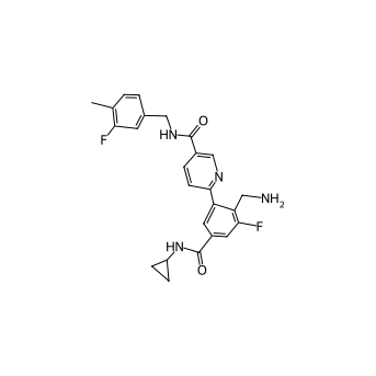 Cc1ccc(CNC(=O)c2ccc(-c3cc(C(=O)NC4CC4)cc(F)c3CN)nc2)cc1F